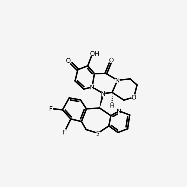 O=C1c2c(O)c(=O)ccn2N([C@@H]2c3ccc(F)c(F)c3CSc3cccnc32)[C@@H]2COCCN12